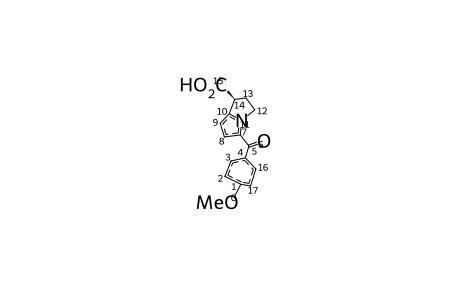 COc1ccc(C(=O)c2ccc3n2CC[C@@H]3C(=O)O)cc1